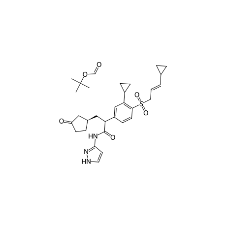 CC(C)(C)OC=O.O=C1CC[C@H](CC(C(=O)Nc2cc[nH]n2)c2ccc(S(=O)(=O)CC=CC3CC3)c(C3CC3)c2)C1